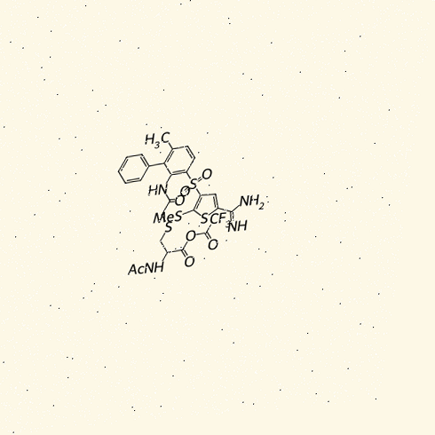 CSc1sc(C(=N)N)cc1S(=O)(=O)c1ccc(C)c(-c2ccccc2)c1NC(=O)CSCC(NC(C)=O)C(=O)OC(=O)C(F)(F)F